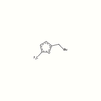 CCC(C)Cc1ccc(C(F)(F)F)o1